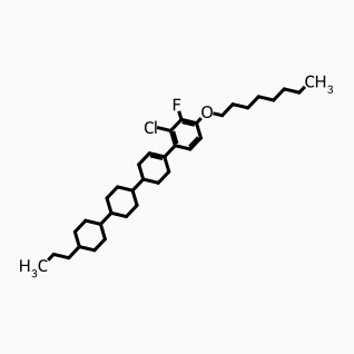 CCCCCCCCOc1ccc(C2=CCC(C3CCC(C4CCC(CCC)CC4)CC3)CC2)c(Cl)c1F